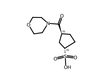 O=C([C@H]1CC[C@H](S(=O)(=O)O)C1)N1CCOCC1